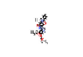 COCCOc1cc2ncnc(NC3=CC(=O)C(N(C)Cc4ccccc4)=CC3=O)c2cc1OC